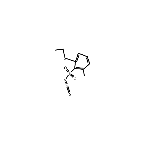 CCSc1cccc(C)c1S(=O)(=O)N=C=S